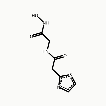 O=C(CNC(=O)Cc1nccs1)NO